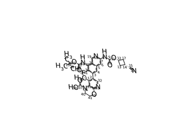 Cc1c(-c2cc3cc(NC(=O)O[C@H]4C[C@@H](C#N)C4)ncc3c(NC(=O)OC(C)(C)C)c2F)cnc2c1N(C(=O)O)CCO2